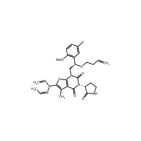 C=CCCO[C@@H](Cn1c(=O)n([C@@H]2CCNC2=O)c(=O)c2c(C)c(N(N=C)/N=C\C)sc21)c1cc(F)ccc1OC